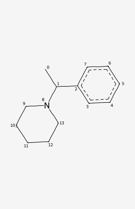 CC(c1ccccc1)N1C[CH]CCC1